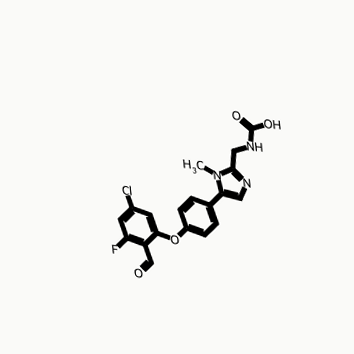 Cn1c(-c2ccc(Oc3cc(Cl)cc(F)c3C=O)cc2)cnc1CNC(=O)O